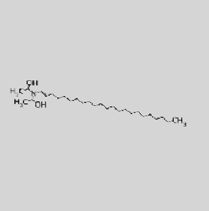 CCCCCCCCCCCCCCCCCCCCCC=CN(C(C)O)C(C)O